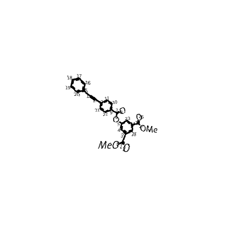 COC(=O)c1cc(OC(=O)c2ccc(C#Cc3ccccc3)cc2)cc(C(=O)OC)c1